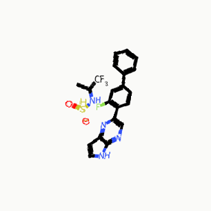 CC(N[SH](=O)=O)C(F)(F)F.Fc1cc(-c2ccccc2)ccc1-c1cnc2[nH]ccc2n1